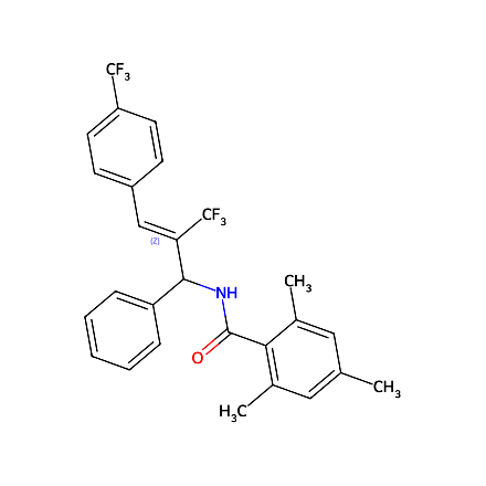 Cc1cc(C)c(C(=O)NC(/C(=C/c2ccc(C(F)(F)F)cc2)C(F)(F)F)c2ccccc2)c(C)c1